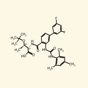 Cc1cc(C)c(NC(=O)Nc2cc(-c3cc(F)cc(F)c3)ccc2C(=O)N[C@H](C(=O)O)[C@@H](C)OC(C)(C)C)c(C)c1